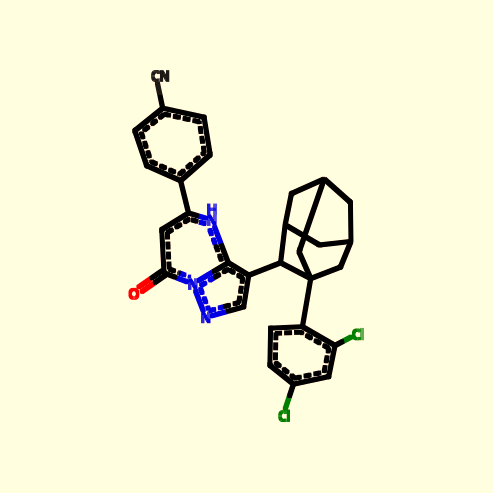 N#Cc1ccc(-c2cc(=O)n3ncc(C4C5CC6CC(C5)CC4(c4ccc(Cl)cc4Cl)C6)c3[nH]2)cc1